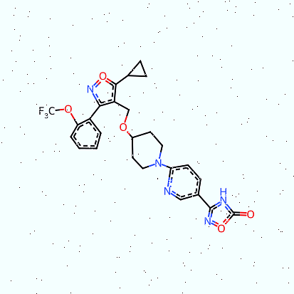 O=c1[nH]c(-c2ccc(N3CCC(OCc4c(-c5ccccc5OC(F)(F)F)noc4C4CC4)CC3)nc2)no1